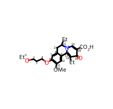 CCOCCCOc1cc2c(cc1OC)-c1c(CC)c(=O)c(C(=O)O)cn1C(CC)C2